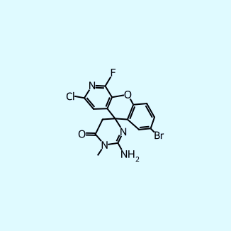 CN1C(=O)CC2(N=C1N)c1cc(Br)ccc1Oc1c2cc(Cl)nc1F